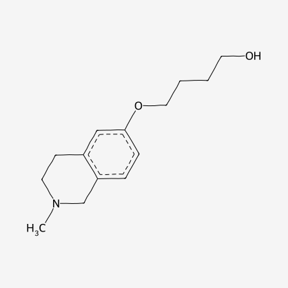 CN1CCc2cc(OCCCCO)ccc2C1